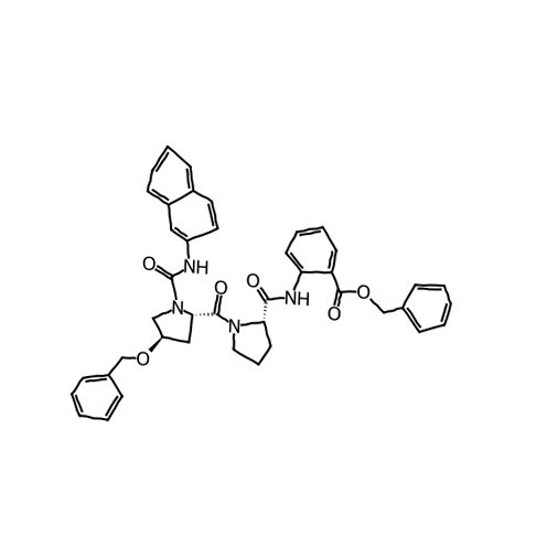 O=C(OCc1ccccc1)c1ccccc1NC(=O)[C@@H]1CCCN1C(=O)[C@@H]1C[C@@H](OCc2ccccc2)CN1C(=O)Nc1ccc2ccccc2c1